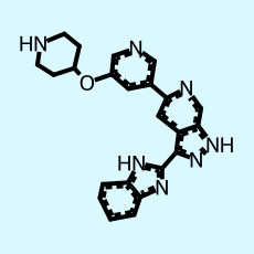 c1ccc2[nH]c(-c3n[nH]c4cnc(-c5cncc(OC6CCNCC6)c5)cc34)nc2c1